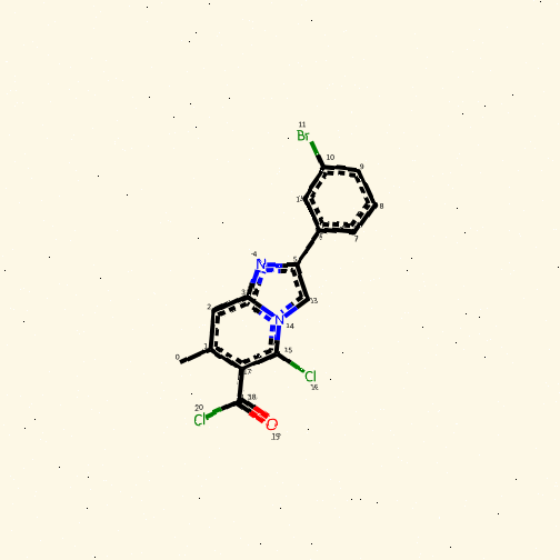 Cc1cc2nc(-c3cccc(Br)c3)cn2c(Cl)c1C(=O)Cl